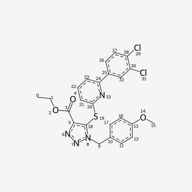 CCOC(=O)c1nnn(Cc2ccc(OC)cc2)c1Sc1cccc(-c2ccc(Cl)c(Cl)c2)n1